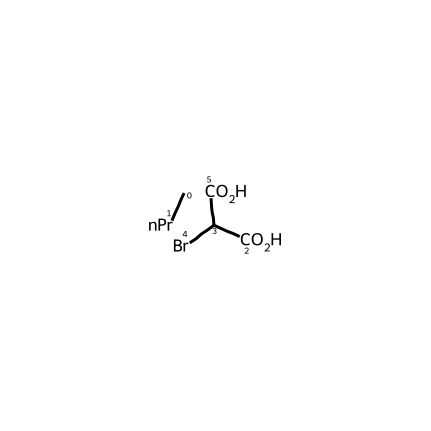 CCCC.O=C(O)C(Br)C(=O)O